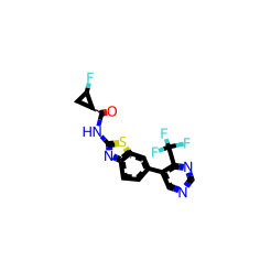 O=C(Nc1nc2ccc(-c3cncnc3C(F)(F)F)cc2s1)[C@@H]1CC1F